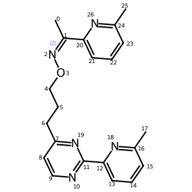 C/C(=N/OCCCc1ccnc(-c2cccc(C)n2)n1)c1cccc(C)n1